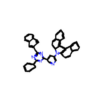 c1ccc(-c2nc(-c3cncc(-n4c5ccc6ccccc6c5c5c6ccccc6ccc54)c3)nc(-c3ccc4ccccc4c3)n2)cc1